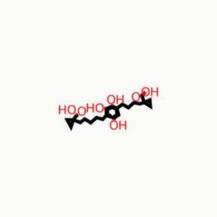 O=C(O)C1(CCCCCc2c(O)cc(CCCCC3(C(=O)O)CC3)c(O)c2O)CC1